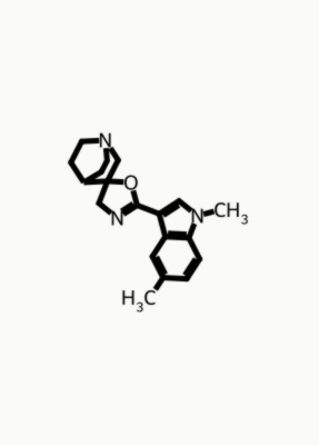 Cc1ccc2c(c1)c(C1=NCC3(CN4CCC3CC4)O1)cn2C